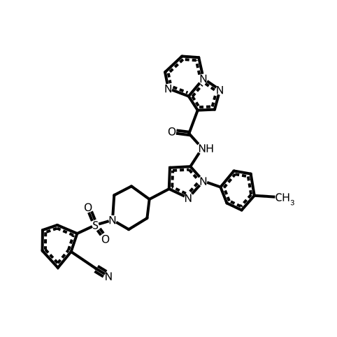 Cc1ccc(-n2nc(C3CCN(S(=O)(=O)c4ccccc4C#N)CC3)cc2NC(=O)c2cnn3cccnc23)cc1